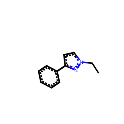 CCn1[c]cc(-c2ccccc2)n1